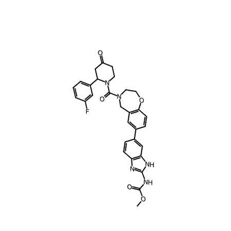 COC(=O)Nc1nc2ccc(-c3ccc4c(c3)CN(C(=O)N3CCC(=O)CC3c3cccc(F)c3)CCO4)cc2[nH]1